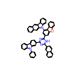 c1ccc(-n2c3ccccc3c3ccc(C4=NC(c5ccc6ccccc6c5)NC(c5cc(-n6c7ccccc7c7cc8ccccc8cc76)c6c(c5)oc5ccccc56)=N4)cc32)cc1